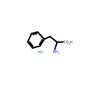 Cl.NC(Cc1ccccc1)C(=O)O